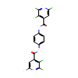 O=C(Nc1ccc(NC(=O)c2cc(F)nc(F)c2F)cc1)c1cc(F)nc(F)c1F